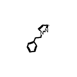 [c]1ccn(CCc2ccccc2)n1